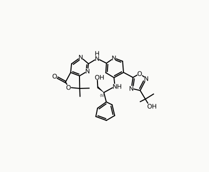 CC(C)(O)c1noc(-c2cnc(Nc3ncc4c(n3)C(C)(C)OC4=O)cc2N[C@H](CO)c2ccccc2)n1